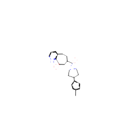 Cc1ccc(C2CCN(C(=O)C3CCc4cccnc4C(=O)C3)CC2)cc1